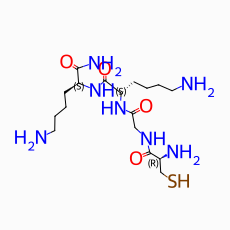 NCCCC[C@H](NC(=O)[C@H](CCCCN)NC(=O)CNC(=O)[C@@H](N)CS)C(N)=O